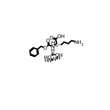 NCCCC[C@H](NC(=O)OCc1ccccc1)C(=O)O.OBO.[N-]=[N+]=N